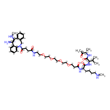 CNCCCC[C@@H](NC(=O)CCOCCOCCOCCOCCNC(=O)CCC(=O)N1Cc2ccccc2/C(NC)=C(/N)c2ccccc21)C(=O)NC(C(=O)N[C@@H](C)C(C)=O)C(C)C